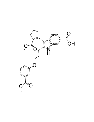 COC(=O)C1=C(c2c(CCCOc3cccc(C(=O)OC)c3)[nH]c3cc(C(=O)O)ccc23)CCC1